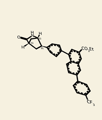 CCOC(=O)c1cc(-c2ccc([C@H]3C[C@H]4C[C@@H]3NC4=O)cc2)c2ccc(-c3ccc(C(F)(F)F)cc3)cc2c1